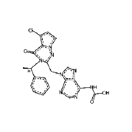 C[C@H](c1ccccc1)n1c(Cn2cnc3c(NC(=O)O)ncnc32)nn2ccc(Cl)c2c1=O